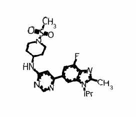 Cc1nc2c(F)cc(-c3cc(NC4CCN(S(C)(=O)=O)CC4)ncn3)cc2n1C(C)C